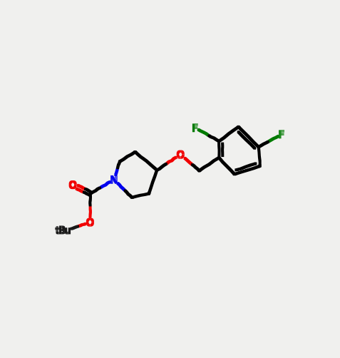 CC(C)(C)OC(=O)N1CCC(OCc2ccc(F)cc2F)CC1